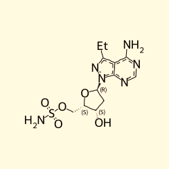 CCc1nn([C@H]2C[C@H](O)[C@H](COS(N)(=O)=O)O2)c2ncnc(N)c12